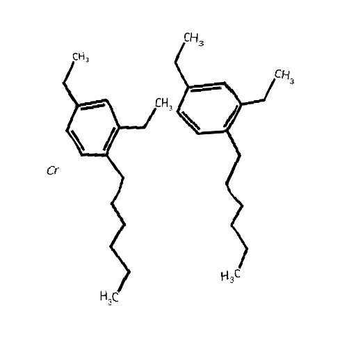 CCCCCCc1ccc(CC)cc1CC.CCCCCCc1ccc(CC)cc1CC.[Cr]